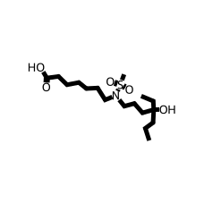 CCCC(O)(CC)CCCN(CCCCCCC(=O)O)S(C)(=O)=O